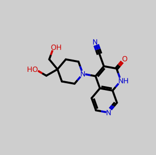 N#Cc1c(N2CCC(CO)(CO)CC2)c2ccncc2[nH]c1=O